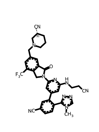 Cn1cnnc1-c1ccc(C#N)cc1-c1cc(NCCC#N)nc(N2Cc3c(cc(CN4CCC[C@@H](C#N)C4)cc3C(F)(F)F)C2=O)c1